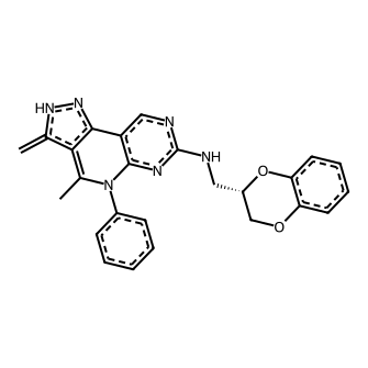 C=c1[nH]nc2c1=C(C)N(c1ccccc1)c1nc(NC[C@H]3COc4ccccc4O3)ncc1-2